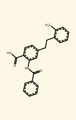 Cc1ccccc1CCc1ccc(C(=O)O)c(NC(=O)c2ccccc2)c1